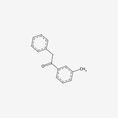 Cc1cccc(C(=O)[CH]c2ccccc2)c1